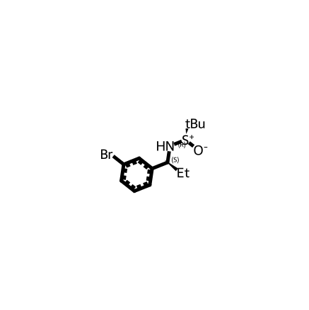 CC[C@H](N[S@@+]([O-])C(C)(C)C)c1cccc(Br)c1